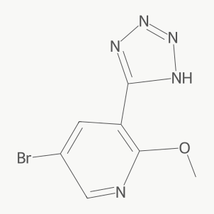 COc1ncc(Br)cc1-c1nnn[nH]1